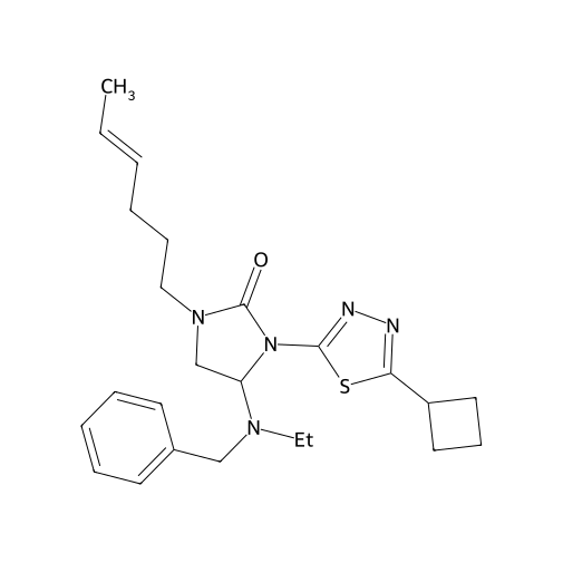 CC=CCCCN1CC(N(CC)Cc2ccccc2)N(c2nnc(C3CCC3)s2)C1=O